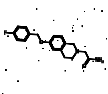 NC(=O)CN1CCc2cc(OCc3ccc(F)cc3)ccc2C1